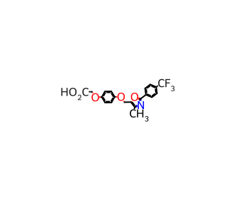 Cc1nc(-c2ccc(C(F)(F)F)cc2)oc1COc1ccc(OCC(=O)O)cc1